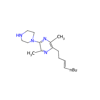 CCCCC=CCCc1nc(C)c(N2CCNCC2)nc1C